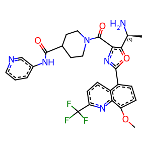 COc1ccc(-c2nc(C(=O)N3CCC(C(=O)Nc4cccnc4)CC3)c([C@H](C)N)o2)c2ccc(C(F)(F)F)nc12